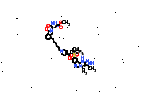 COC(=O)CC[C@@H](C(N)=O)N1Cc2c(CCCCCCN3CCC(COc4cc5ncnc(Nc6n[nH]c(C)c6C)c5cc4S(=O)(=O)C(C)(C)C)CC3)cccc2C1=O